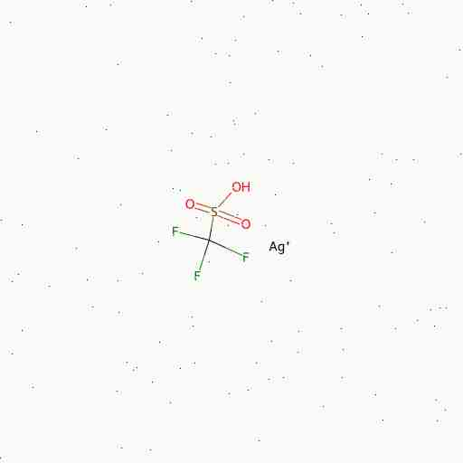 O=S(=O)(O)C(F)(F)F.[Ag+]